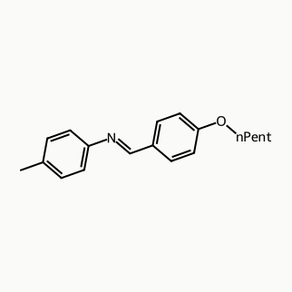 CCCCCOc1ccc(C=Nc2ccc(C)cc2)cc1